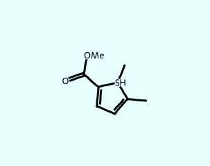 COC(=O)C1=CC=C(C)[SH]1C